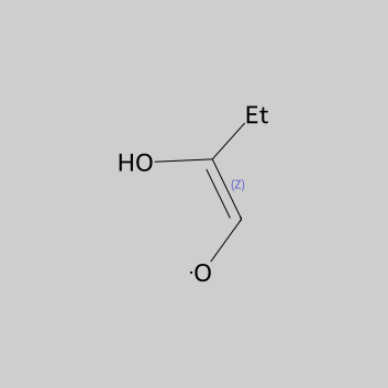 CC/C(O)=C/[O]